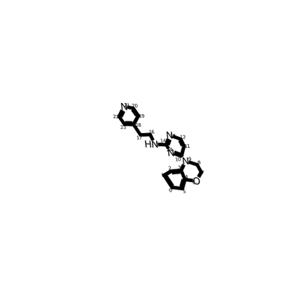 c1ccc2c(c1)OCCN2c1ccnc(NCCc2ccncc2)n1